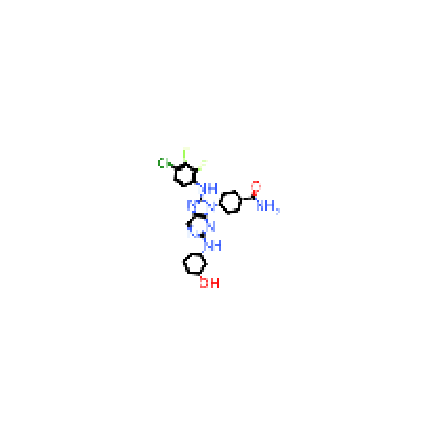 NC(=O)[C@H]1CC[C@H](n2c(Nc3ccc(Cl)c(F)c3F)nc3cnc(N[C@H]4CCC[C@H](O)C4)nc32)CC1